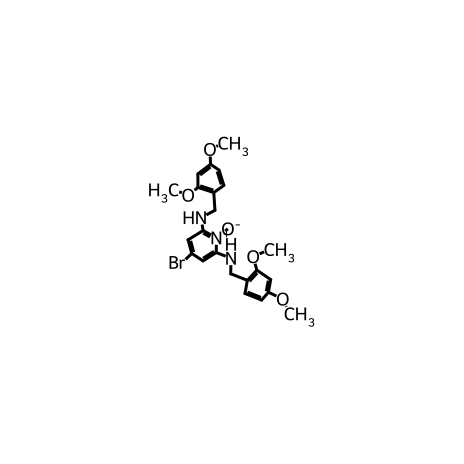 COc1ccc(CNc2cc(Br)cc(NCc3ccc(OC)cc3OC)[n+]2[O-])c(OC)c1